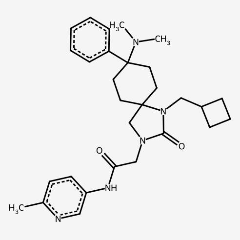 Cc1ccc(NC(=O)CN2CC3(CCC(c4ccccc4)(N(C)C)CC3)N(CC3CCC3)C2=O)cn1